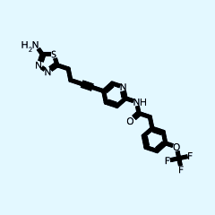 Nc1nnc(CCC#Cc2ccc(NC(=O)Cc3cccc(OC(F)(F)F)c3)nc2)s1